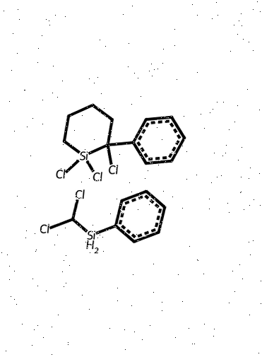 ClC(Cl)[SiH2]c1ccccc1.ClC1(c2ccccc2)CCCC[Si]1(Cl)Cl